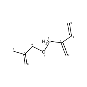 C=CC(=C)[SiH2]OCC(=C)C